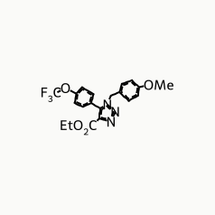 CCOC(=O)c1nnn(Cc2ccc(OC)cc2)c1-c1ccc(OC(F)(F)F)cc1